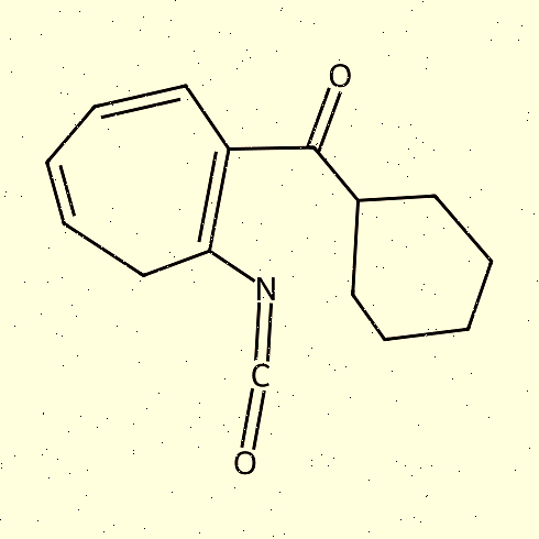 O=C=NC1=C(C(=O)C2CCCCC2)C=CC=CC1